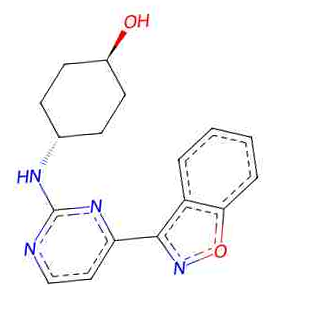 O[C@H]1CC[C@H](Nc2nccc(-c3noc4ccccc34)n2)CC1